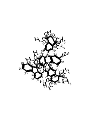 Cc1cc2c3c(c1)N(c1cccc4c1C(C)(C)c1ccccc1-4)c1cc4c(cc1B3c1ccc(C(C)(C)C)cc1N2c1cc2c(cc1C)C(C)(C)CC2(C)C)C(C)(C)CCC4(C)C